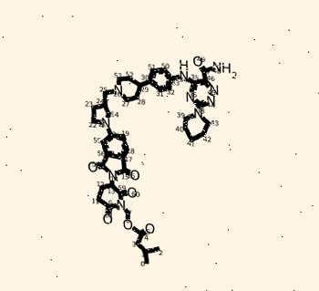 CC(C)CC(=O)OCN1C(=O)CCC(N2C(=O)c3ccc(N4CCC(CN5CCC(c6ccc(Nc7nc(N8CCCCC8)nnc7C(N)=O)cc6)CC5)C4)cc3C2=O)C1=O